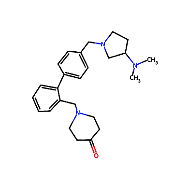 CN(C)C1CCN(Cc2ccc(-c3ccccc3CN3CCC(=O)CC3)cc2)C1